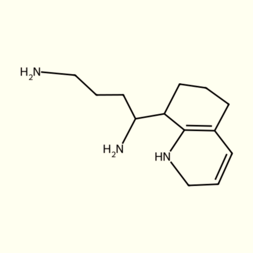 NCCCC(N)C1CCCC2=C1NCC=C2